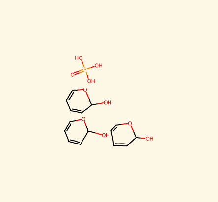 O=P(O)(O)O.OC1C=CC=CO1.OC1C=CC=CO1.OC1C=CC=CO1